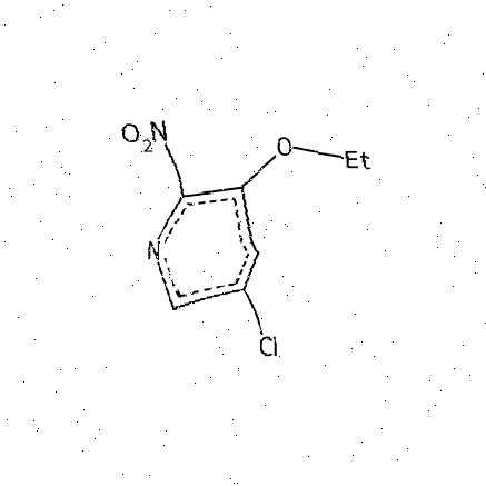 CCOc1cc(Cl)cnc1[N+](=O)[O-]